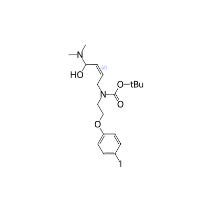 CN(C)C(O)/C=C\CN(CCOc1ccc(I)cc1)C(=O)OC(C)(C)C